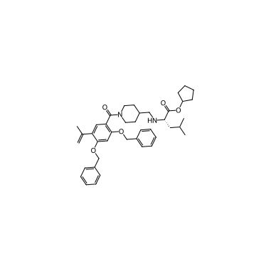 C=C(C)c1cc(C(=O)N2CCC(CN[C@@H](CC(C)C)C(=O)OC3CCCC3)CC2)c(OCc2ccccc2)cc1OCc1ccccc1